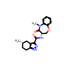 C[C@H]1CCc2[nH]nc(C(=O)N[C@H]3COc4ccccc4N(C)C3=O)c2C1